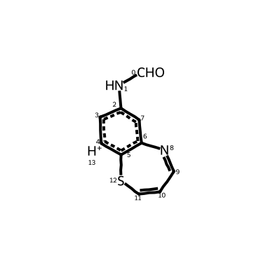 O=CNc1ccc2c(c1)N=CC=CS2.[H+]